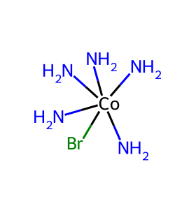 [NH2][Co]([NH2])([NH2])([NH2])([NH2])[Br]